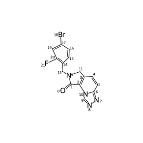 O=C1c2c(ccc3nncn23)CN1Cc1ccc(Br)cc1F